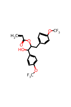 C=CC(=O)OC(Cc1ccc(OC(F)(F)F)cc1)C(O)c1ccc(OC(F)(F)F)cc1